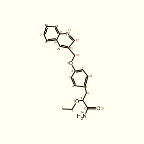 CCOC(Cc1ccc(OCc2cnc3ccccc3c2)cc1)C(N)=O